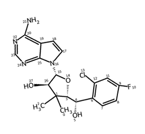 CC1(C)[C@@H]([C@@H](O)c2ccc(F)cc2Cl)O[C@@H](n2ccc3c(N)ncnc32)[C@@H]1O